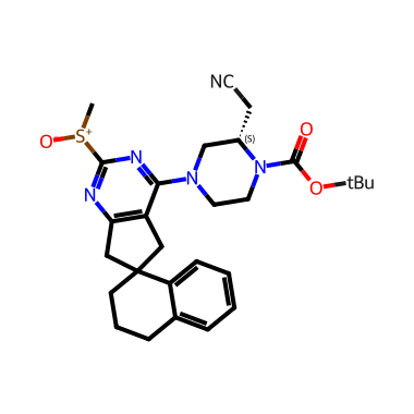 C[S+]([O-])c1nc2c(c(N3CCN(C(=O)OC(C)(C)C)[C@@H](CC#N)C3)n1)CC1(CCCc3ccccc31)C2